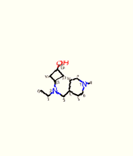 CCN(CC1CCN(C)CC1)C1CC(O)C1